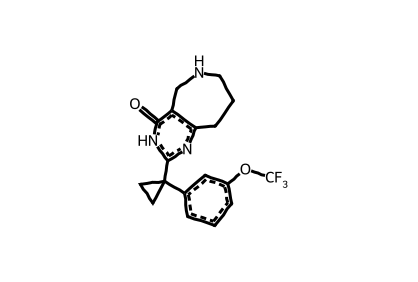 O=c1[nH]c(C2(c3cccc(OC(F)(F)F)c3)CC2)nc2c1CNCCC2